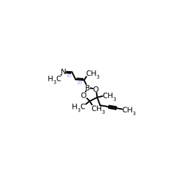 CC#CCC1(C)OB(/C(C)=C/C=N\C)OC1(C)C